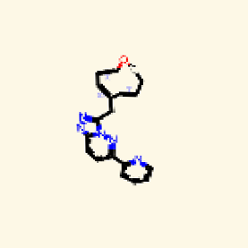 C1=C(Cc2nnc3ccc(-c4ccccn4)nn23)\C=C\CCO/C=C/1